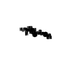 CC[C@H](O)CC[C@@H]1[C@H]2Cc3cccc(OCC(=O)OCC4CCC(C(=O)O)CC4)c3C[C@H]2C[C@H]1O